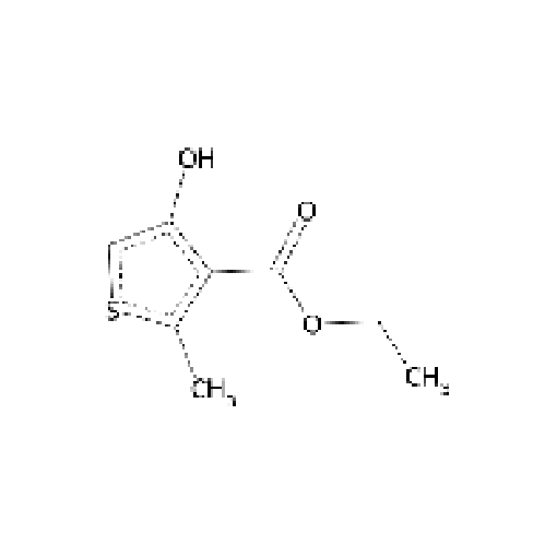 CCOC(=O)c1c(O)csc1C